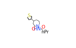 CCCC(=O)NN1CCCC(c2ccsc2)CC1=O